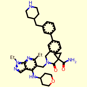 CCc1nc2c(cnn2CC)c(NC2CCOCC2)c1CN(Cc1cccc(-c2cccc(CC3CCNCC3)c2)c1)C(=O)C1(C(N)=O)CC1